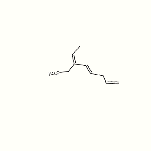 C=CC/C=C/C(=C\C)CC(=O)O